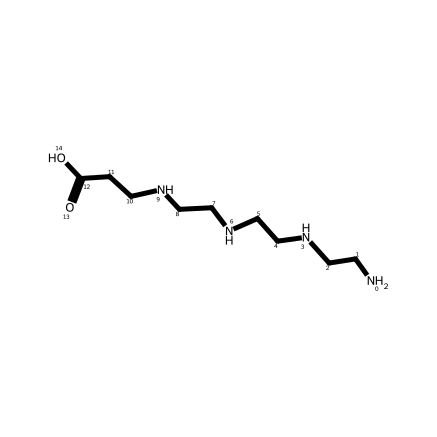 NCCNCCNCCNCCC(=O)O